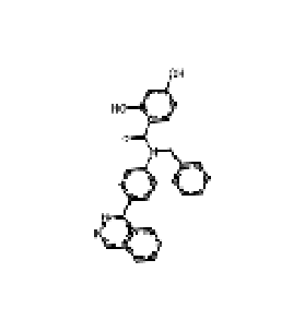 O=C(c1ccc(O)cc1O)N(Cc1ccccc1)c1ccc(-c2nncc3ccccc23)cc1